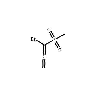 C=C=C(CC)S(C)(=O)=O